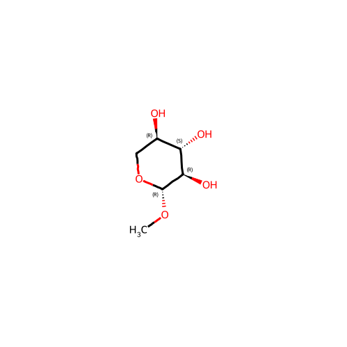 CO[C@@H]1OC[C@@H](O)[C@H](O)[C@H]1O